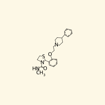 CNC(=O)N1CCSC1c1ccccc1OCCN1CCC(c2ccccc2)CC1